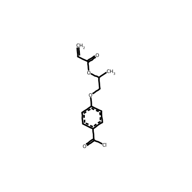 C=CC(=O)OC(C)COc1ccc(C(=O)Cl)cc1